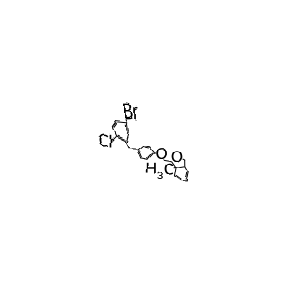 CC12C=CC=CC1COC2COc1ccc(Cc2cc(Br)ccc2Cl)cc1